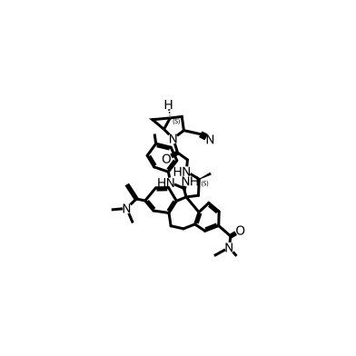 C=C(c1ccc2c(c1)CCc1cc(C(=O)N(C)C)ccc1C2(C[C@H](C)NCC(=O)N1C(C#N)C[C@@H]2CC21)C(=N)Nc1ccc(C)cc1)N(C)C